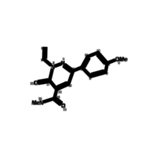 C=Cn1nc(-c2ccc(OC)cc2)cc(C(=O)NC)c1=O